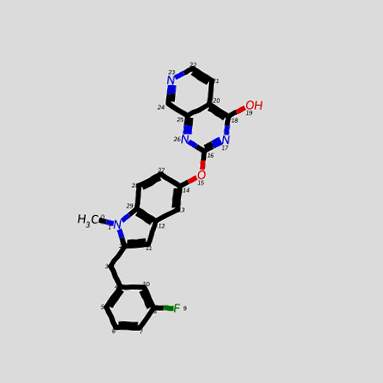 Cn1c(Cc2cccc(F)c2)cc2cc(Oc3nc(O)c4ccncc4n3)ccc21